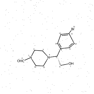 O=CN1CCN([C@@H](CO)c2ccc(Br)cc2)CC1